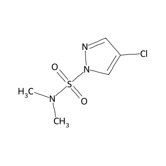 CN(C)S(=O)(=O)n1cc(Cl)cn1